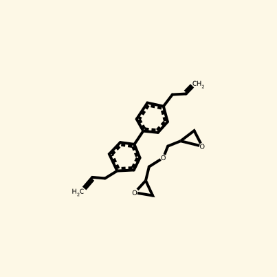 C(OCC1CO1)C1CO1.C=CCc1ccc(-c2ccc(CC=C)cc2)cc1